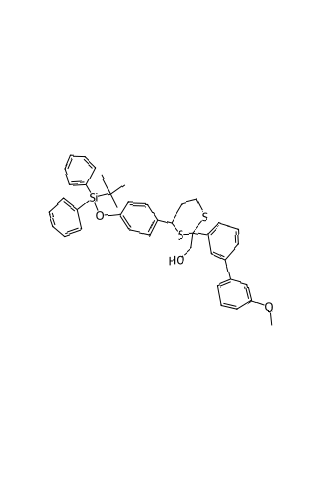 COc1cccc(-c2cccc(C3(CO)SCCC(c4ccc(O[Si](c5ccccc5)(c5ccccc5)C(C)(C)C)cc4)S3)c2)c1